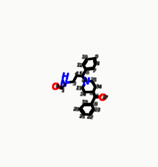 O=CNCCC(c1ccccc1)N1CCC(C(=O)c2ccccc2)CC1